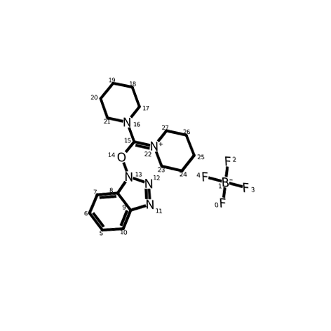 F[B-](F)(F)F.c1ccc2c(c1)nnn2OC(N1CCCCC1)=[N+]1CCCCC1